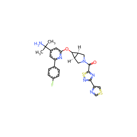 CC(C)(N)c1cc(OC2[C@H]3CN(C(=O)c4nc(-c5cscn5)ns4)C[C@@H]23)nc(-c2ccc(F)cc2)c1